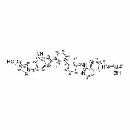 Cc1c(Nc2nccc3cc(CNC[C@@H](C)O)cnc23)cccc1-c1cccc(-c2nc3cc(CN4CC[C@@H](C(=O)O)C4)cc(C#N)c3o2)c1C